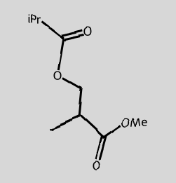 COC(=O)C(C)COC(=O)C(C)C